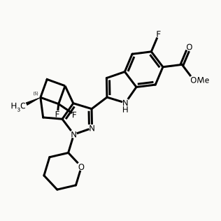 COC(=O)c1cc2[nH]c(-c3nn(C4CCCCO4)c4c3C3C[C@@](C)(C4)C3(F)F)cc2cc1F